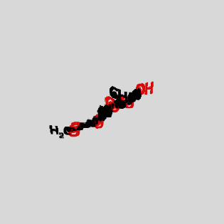 C=CC(=O)OCCCCCCOc1ccc2cc(C(=O)Oc3ccc(OC(=O)c4ccc5cc(O)ccc5c4)c(CCC)c3)ccc2c1